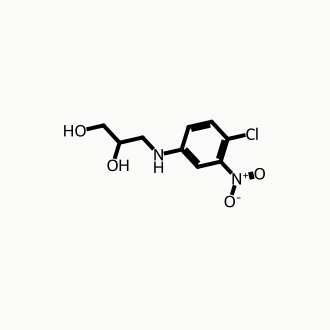 O=[N+]([O-])c1cc(NCC(O)CO)ccc1Cl